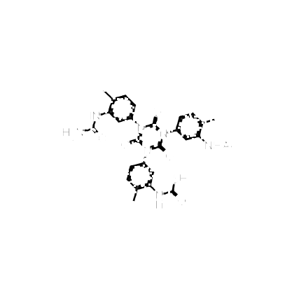 CC(=O)Nc1cc(-n2c(=O)n(-c3ccc(C)c(NC(N)=O)c3)c(=O)n(-c3ccc(C)c(NC(=O)S)c3)c2=O)ccc1C